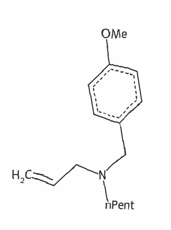 C=CCN(CCCCC)Cc1ccc(OC)cc1